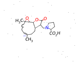 C/C1=C/CCC2(C)OC2C2OC(=O)C(CN3CCCC3C(=O)O)C2CC1